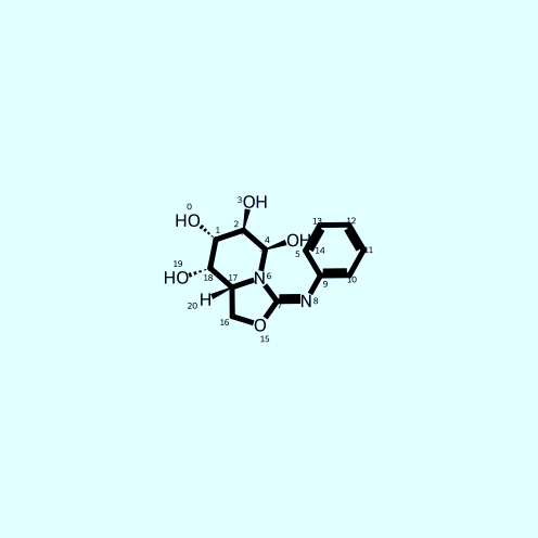 O[C@@H]1[C@@H](O)[C@@H](O)N2/C(=N\c3ccccc3)OC[C@@H]2[C@@H]1O